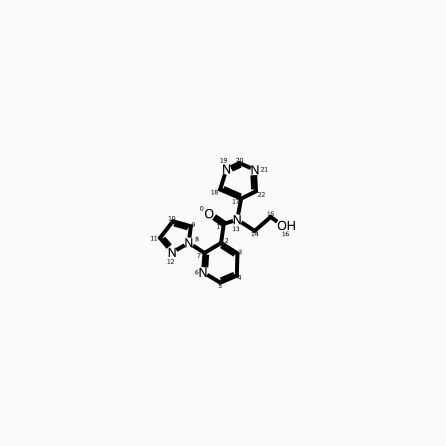 O=C(c1cccnc1-n1cccn1)N(CCO)c1cncnc1